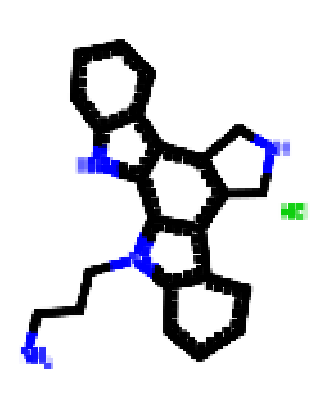 Cl.NCCCn1c2ccccc2c2c3c(c4c5ccccc5[nH]c4c21)CNC3